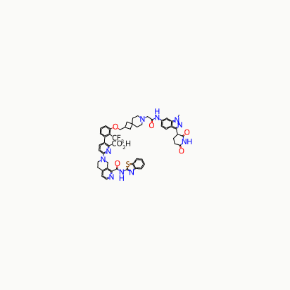 Cn1nc(C2CCC(=O)NC2=O)c2ccc(NC(=O)CN3CCC4(CC3)CC(COc3cccc(-c5ccc(N6CCc7ccnc(C(=O)Nc8nc9ccccc9s8)c7C6)nc5C(=O)O)c3C(F)(F)F)C4)cc21